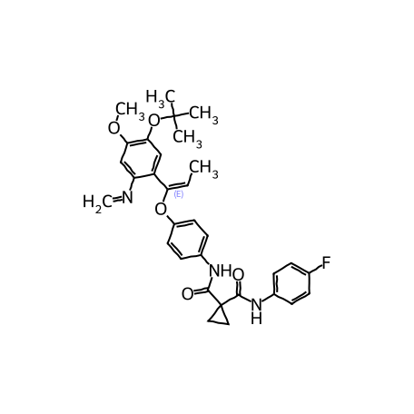 C=Nc1cc(OC)c(OC(C)(C)C)cc1/C(=C\C)Oc1ccc(NC(=O)C2(C(=O)Nc3ccc(F)cc3)CC2)cc1